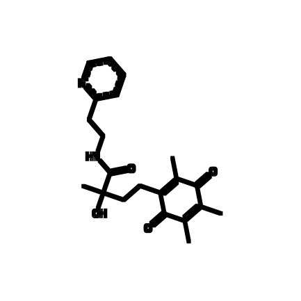 CC1=C(C)C(=O)C(CCC(C)(O)C(=O)NCCc2ccccn2)=C(C)C1=O